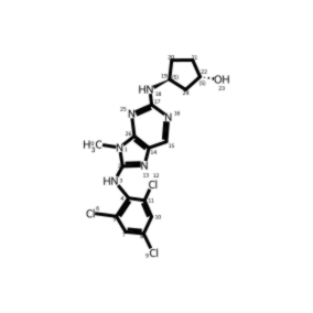 Cn1c(Nc2c(Cl)cc(Cl)cc2Cl)nc2cnc(N[C@H]3CC[C@H](O)C3)nc21